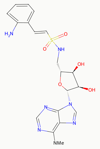 CNc1ncnc2c1ncn2[C@@H]1O[C@H](CNS(=O)(=O)/C=C/c2ccccc2N)[C@@H](O)[C@H]1O